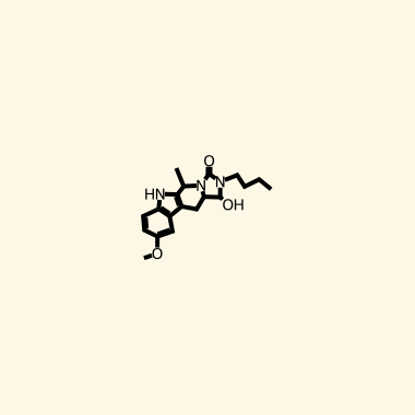 CCCCN1C(=O)N2C(C)c3[nH]c4ccc(OC)cc4c3CC2C1O